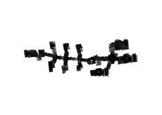 CCCCCCCC[N+](C)(CCCCCCCC)CCCCCCCC.O=S(=O)(O)C(F)(F)C(F)(F)C(F)(F)C(F)(F)F